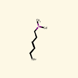 CCCCCCCCC[P](C)[Gd]